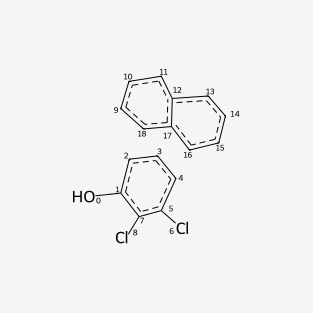 Oc1cccc(Cl)c1Cl.c1ccc2ccccc2c1